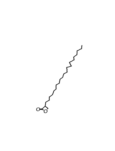 CCCCCCCCCCCCCCCCCCCCCC1COC1=O